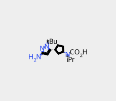 CC(C)N(C(=O)O)[C@H]1CC[C@@H](c2cc(N)nn2C(C)(C)C)C1